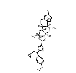 C[C@]12C=CC(=O)C=C1CC[C@@H]1[C@@H]2[C@@H](O)C[C@@]2(C)[C@H]1C[C@H]1O[C@@H](c3ccn([C@H](CC4CC4)c4ccc(CO)cc4)c3)O[C@]12C(=O)CO